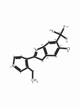 CCc1cnccc1C1=Nc2cc(C(F)(F)F)c(Cl)cc2C1